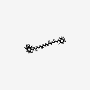 CC1=C(/C=C/C(C)=C/C=C/C(C)=C/C=C/C=C(C)/C=C/C=C(C)/C=C/C2=C(C)C(=O)C(C)CC2(C)C)C(C)(C)CCC1